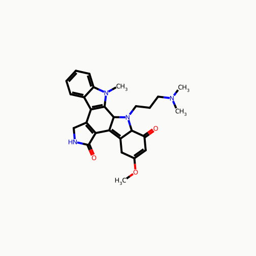 COC1=CC(=O)C2C(=C3C4=C(CNC4=O)c4c(n(C)c5ccccc45)C3N2CCCN(C)C)C1